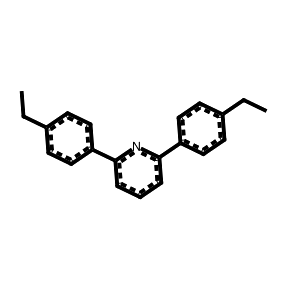 CCc1ccc(-c2cccc(-c3ccc(CC)cc3)n2)cc1